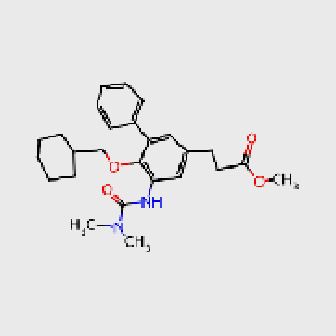 COC(=O)CCc1cc(NC(=O)N(C)C)c(OCC2CCCCC2)c(-c2ccccc2)c1